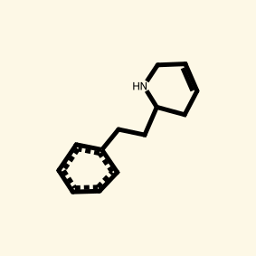 C1=CCC(CCc2ccccc2)NC1